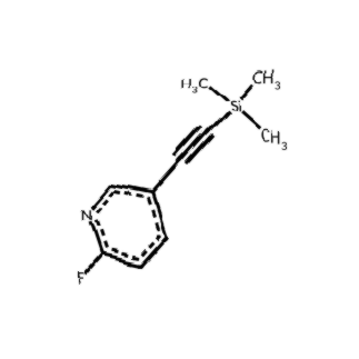 C[Si](C)(C)C#Cc1ccc(F)nc1